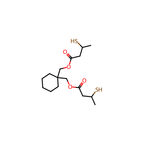 CC(S)CC(=O)OCC1(COC(=O)CC(C)S)CCCCC1